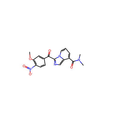 COc1cc(C(=O)c2ncc3c(C(=O)N(C)C)cccn23)ccc1[N+](=O)[O-]